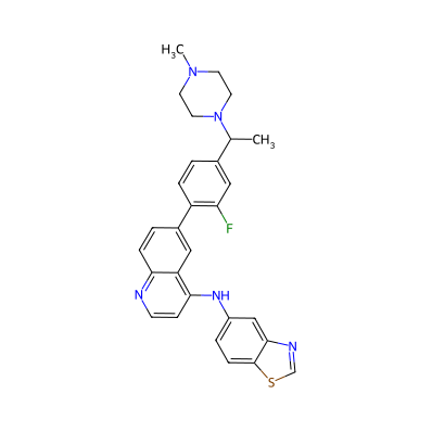 CC(c1ccc(-c2ccc3nccc(Nc4ccc5scnc5c4)c3c2)c(F)c1)N1CCN(C)CC1